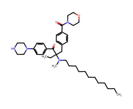 CCCCCCCCCCCCN(C)C(CC)(Cc1ccc(C(=O)N2CCOCC2)cc1)C(=O)c1ccc(N2CCNCC2)cc1